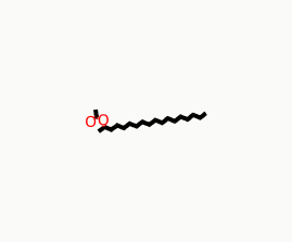 CCCCCCCCCCCCCCCCC(C)OC(C)=O